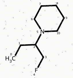 CCC(CF)N1CCCCC1